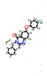 CC[C@@H](c1ccccc1)n1c(C)nc2ccc(Oc3ccc(F)cc3)cc2c1=O